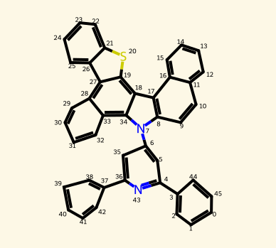 c1ccc(-c2cc(-n3c4ccc5ccccc5c4c4c5sc6ccccc6c5c5ccccc5c43)cc(-c3ccccc3)n2)cc1